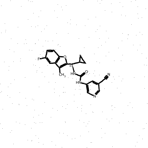 Cc1c([C@H](NC(=O)Nc2cncc(C#N)c2)C2CC2)oc2ccc(F)cc12